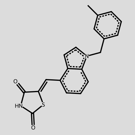 Cc1cccc(Cn2ccc3c(C=C4SC(=O)NC4=O)cccc32)c1